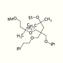 CCOC(C)(C)CC(COCCC(C)C)(COC(C)C)COC(C)(C)CCOC